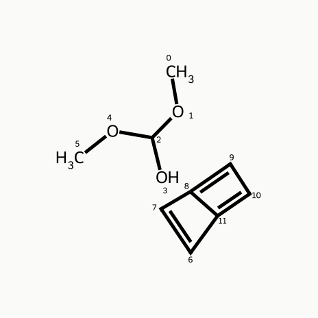 COC(O)OC.c1cc2ccc1-2